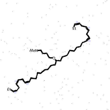 CC/C=C\C/C=C\C/C=C\CCCCCCCCC(CCCCCCCC/C=C\C/C=C\C/C=C\CC)OCCCCNC